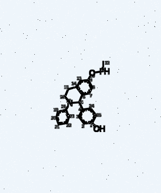 Oc1ccc(C2c3ccc(OPI)cc3CCN2c2ccccc2)cc1